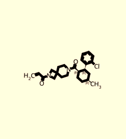 C=CC(=O)N1CC2(CCN(C(=O)[C@@H]3CC[C@@H](C)C[C@H]3c3ccccc3Cl)CC2)C1